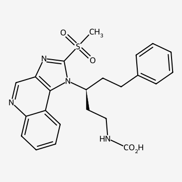 CS(=O)(=O)c1nc2cnc3ccccc3c2n1[C@H](CCNC(=O)O)CCc1ccccc1